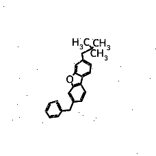 CC(C)(C)Cc1ccc2c(c1)oc1cc(Cc3ccccc3)ccc12